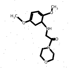 COC1=CC=C(OC)C(NCC(=O)N2CCOCC2)C1